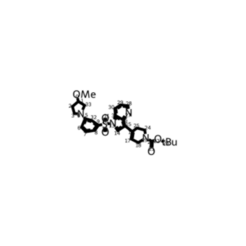 COC1CCN(c2cccc(S(=O)(=O)n3cc(C4=CCN(C(=O)OC(C)(C)C)CC4)c4ncccc43)c2)C1